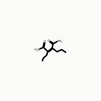 CCC/C(C(N)=O)=C(\CCC)C(N)=O